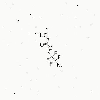 C=CC(=O)OCC(F)(F)C(F)(F)CC